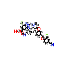 N#CCC1(Cn2c(CN3CCC(Oc4cccc(COc5ccc(C#N)cc5F)c4)CC3)nc3c(F)cc(C(=O)O)cc32)CC1